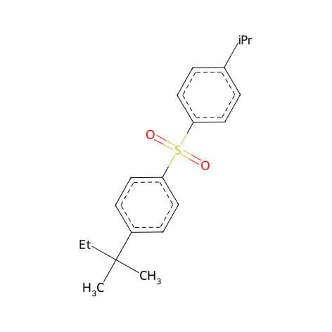 CCC(C)(C)c1ccc(S(=O)(=O)c2ccc(C(C)C)cc2)cc1